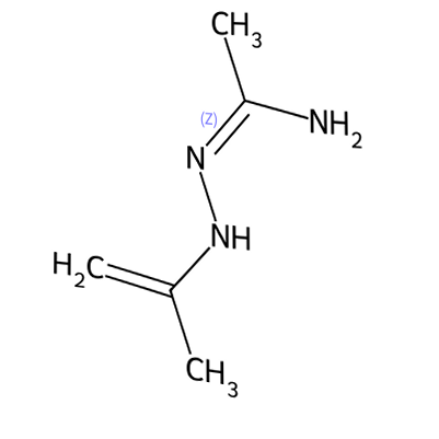 C=C(C)N/N=C(/C)N